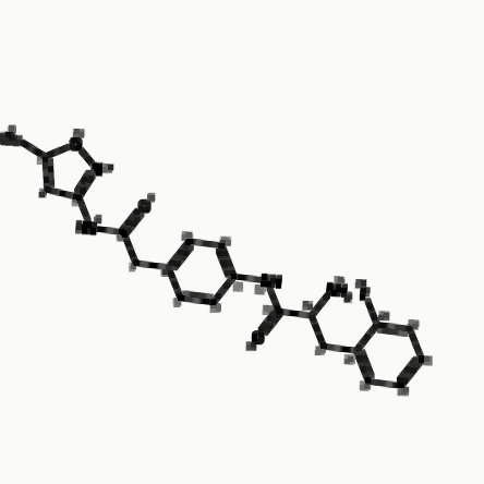 CC(C)(C)c1cc(NC(=O)Cc2ccc(NC(=O)C(N)Cc3ccccc3F)cc2)no1